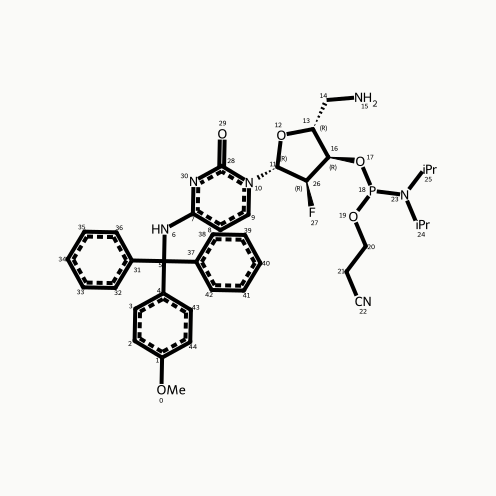 COc1ccc(C(Nc2ccn([C@@H]3O[C@H](CN)[C@@H](OP(OCCC#N)N(C(C)C)C(C)C)[C@H]3F)c(=O)n2)(c2ccccc2)c2ccccc2)cc1